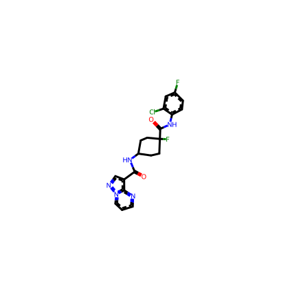 O=C(NC1CCC(F)(C(=O)Nc2ccc(F)cc2Cl)CC1)c1cnn2cccnc12